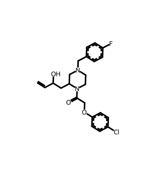 C=CC(O)CC1CN(Cc2ccc(F)cc2)CCN1C(=O)COc1ccc(Cl)cc1